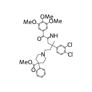 COC(=O)C1(c2ccccc2)CCN(CCC(C)(CC(=N)C(=O)c2cc(OC)c(OC)c(OC)c2)c2ccc(Cl)c(Cl)c2)CC1